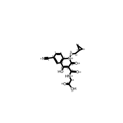 N#Cc1ccc2c(c1)c(O)c(C(=O)NCC(=O)O)c(=O)n2OCC1CC1